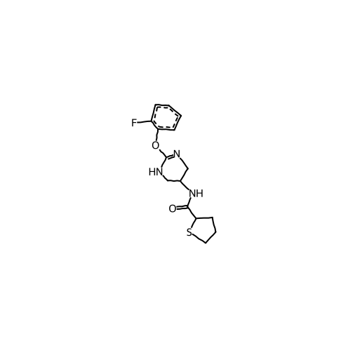 O=C(NC1CN=C(Oc2ccccc2F)NC1)C1CCCS1